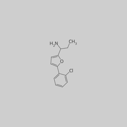 CCC(N)c1ccc(-c2ccccc2Cl)o1